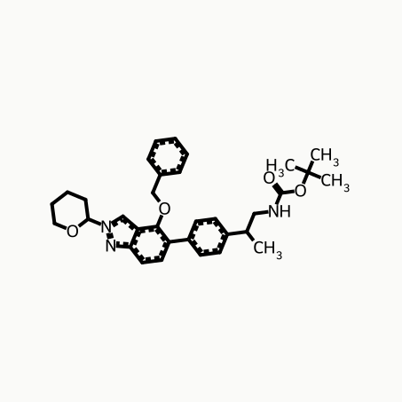 CC(CNC(=O)OC(C)(C)C)c1ccc(-c2ccc3nn(C4CCCCO4)cc3c2OCc2ccccc2)cc1